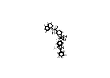 O=C(NC1CCCc2ccccc21)C1CCC(NS(=O)(=O)c2ccc3[nH]c(-c4ccccc4)nc3c2)CC1